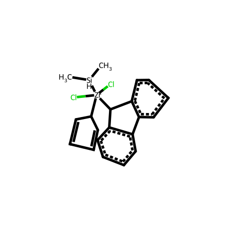 C[SiH](C)[Zr]([Cl])([Cl])([CH]1C=CC=C1)[CH]1c2ccccc2-c2ccccc21